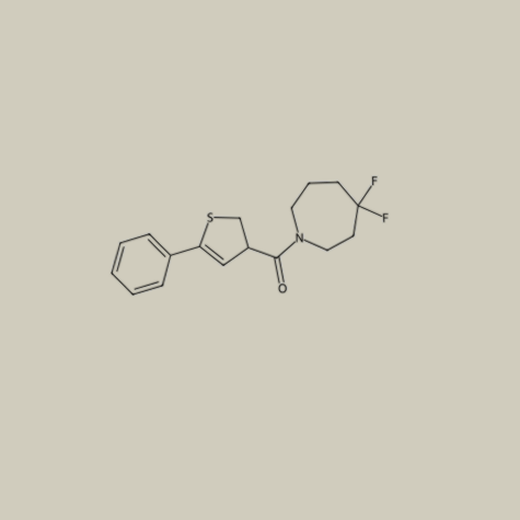 O=C(C1C=C(c2ccccc2)SC1)N1CCCC(F)(F)CC1